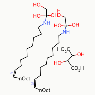 CCCCCCCC/C=C\CCCCCCCCNC(O)(O)CO.CCCCCCCC/C=C\CCCCCCCCNC(O)(O)CO.O=C(O)C(O)C(O)C(=O)O